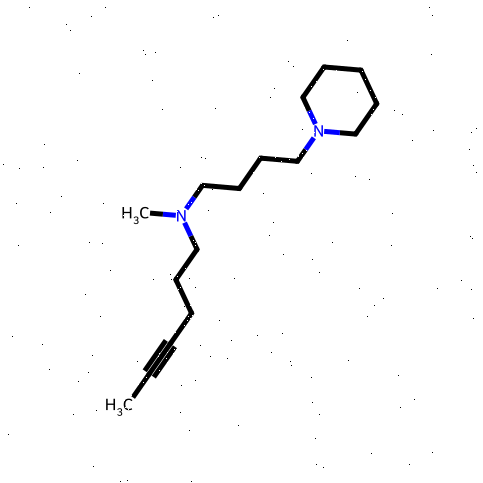 CC#CCCCN(C)CCCCN1CCCCC1